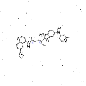 C=C/C(=C\C=C(/C)Nc1ccnc2ccc(N3CCC3)cc12)c1nc2cc(Nc3ccnc(C)c3)ccc2[nH]1